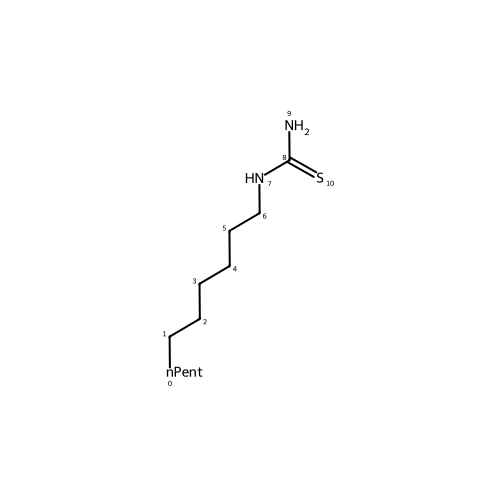 CCCCCCCCCCCNC(N)=S